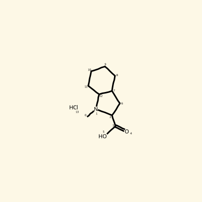 CN1C(C(=O)O)CC2CCCCC21.Cl